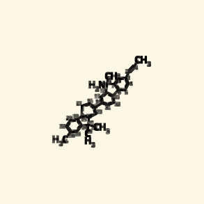 CC#Cc1ccc2c(c1)C(C)(N)c1cc(-c3ccc4c(c3)C(C)(C)c3cc(C)ccc3-4)ccc1-2